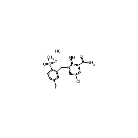 CS(=O)(=O)c1ccc(F)cc1Cn1cc(Cl)cc(C(N)=O)c1=N.Cl